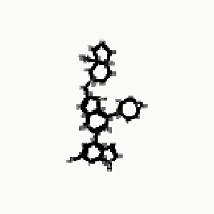 Fc1cc(-c2nc(N3CCOCC3)c3sc(CN4CCN5CCC[C@H]5C4)cc3n2)c2cc[nH]c2c1